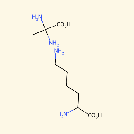 CC(N)(N)C(=O)O.NCCCCC(N)C(=O)O